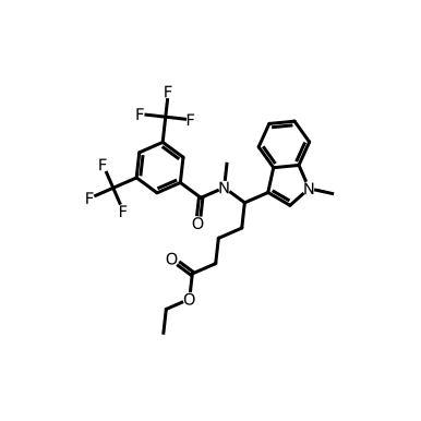 CCOC(=O)CCCC(c1cn(C)c2ccccc12)N(C)C(=O)c1cc(C(F)(F)F)cc(C(F)(F)F)c1